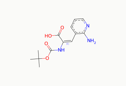 CC(C)(C)OC(=O)N/C(=C/c1cccnc1N)C(=O)O